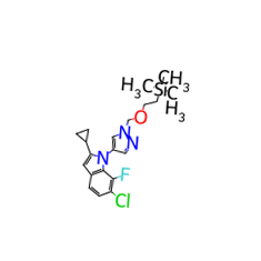 C[Si](C)(C)CCOCn1cc(-n2c(C3CC3)cc3ccc(Cl)c(F)c32)cn1